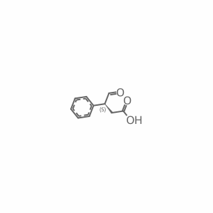 O=C[C@@H](CC(=O)O)c1ccccc1